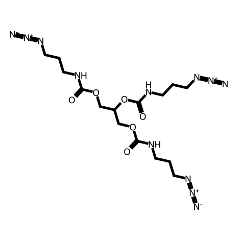 [N-]=[N+]=NCCCNC(=O)OCC(COC(=O)NCCCN=[N+]=[N-])OC(=O)NCCCN=[N+]=[N-]